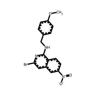 COc1ccc(CNc2nc(Br)cc3cc([N+](=O)[O-])ccc23)cc1